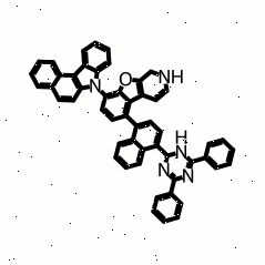 C1=Cc2c(oc3c(-n4c5ccccc5c5c6ccccc6ccc54)ccc(-c4ccc(C5N=C(c6ccccc6)N=C(c6ccccc6)N5)c5ccccc45)c23)CN1